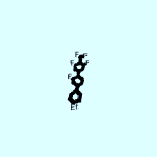 CCC1CCC(C2CCC(C3CC(F)C(C(F)F)C(F)C3)C(F)C2)CC1